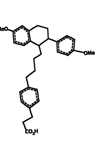 COc1ccc(C2CCc3cc(OC)ccc3C2CCCCc2ccc(CCC(=O)O)cc2)cc1